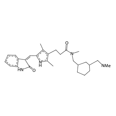 CNCC1CCCC(CN(C)C(=O)CCc2c(C)[nH]c(C=C3C(=O)Nc4ccccc43)c2C)C1